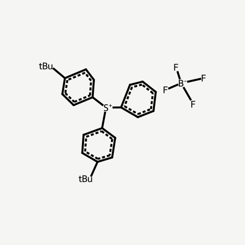 CC(C)(C)c1ccc([S+](c2ccccc2)c2ccc(C(C)(C)C)cc2)cc1.F[B-](F)(F)F